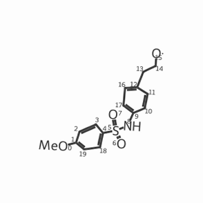 COc1ccc(S(=O)(=O)Nc2ccc(CC[O])cc2)cc1